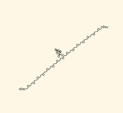 CCCCCCCCCCCOCCOCCOCCOCCOCCOCCOCCOCCOCCOCCOCCOCCOCCOCCOCCCCCCCCCCC.O=S(=O)([O-])[O-].[Na+].[Na+]